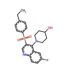 CCc1ccc(S(=O)(=O)c2cnc3ccc(F)cc3c2N2CCC(O)CC2)cc1